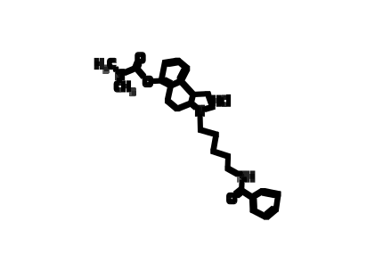 CN(C)C(=O)Oc1cccc2c1CCC1C2CCN1CCCCCNC(=O)c1ccccc1.Cl